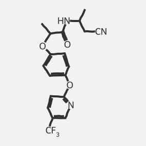 CC(CC#N)NC(=O)C(C)Oc1ccc(Oc2ccc(C(F)(F)F)cn2)cc1